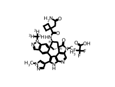 O=C(O)C(F)(F)F.[2H]C([2H])([2H])n1ncc2cc(-c3c(-c4cnn(C)c4)[nH]c4ncc5c(c34)[C@]3(CC[C@@H](NC(=O)C4(CC(N)=O)CCC4)C3)C(=O)N5C)ccc21